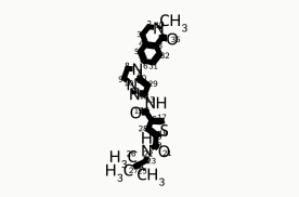 CN1CCc2cc(N3CCn4nc(NC(=O)c5csc(C(=O)NCC(C)(C)C)c5)cc43)ccc2C1=O